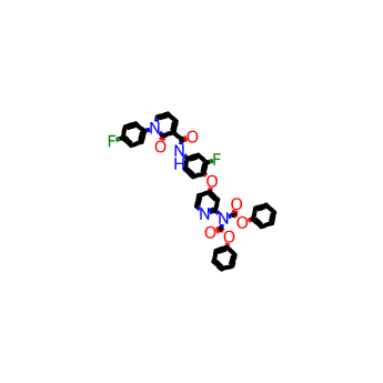 O=C(Nc1ccc(Oc2ccnc(N(C(=O)Oc3ccccc3)C(=O)Oc3ccccc3)c2)c(F)c1)c1cccn(-c2ccc(F)cc2)c1=O